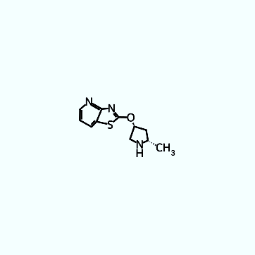 C[C@H]1C[C@@H](Oc2nc3ncccc3s2)CN1